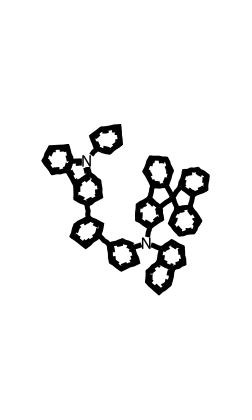 c1ccc(-n2c3ccccc3c3cc(-c4cccc(-c5cccc(N(c6ccc7c(c6)C6(c8ccccc8-c8ccccc86)c6ccccc6-7)c6cccc7ccccc67)c5)c4)ccc32)cc1